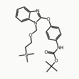 CC(C)(C)OC(=O)Nc1ccc(Oc2nc3ccccc3n2COCC[Si](C)(C)C)cc1